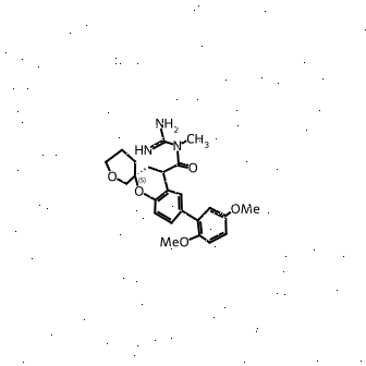 COc1ccc(OC)c(-c2ccc3c(c2)C(C(=O)N(C)C(=N)N)C[C@]2(CCCOC2)O3)c1